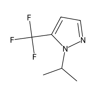 CC(C)n1nccc1C(F)(F)F